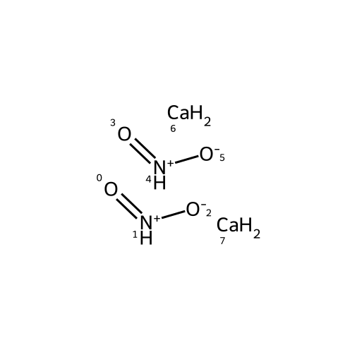 O=[NH+][O-].O=[NH+][O-].[CaH2].[CaH2]